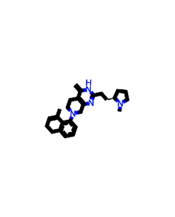 C=C1NC(CC[C@@H]2CCCN2C)=NC2=C1CCN(c1cccc3c1C(C)=CCC3)C2